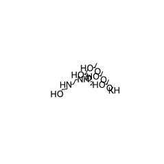 CC(=O)O.CC(=O)O.CC(=O)O.CC(=O)O.NCCNCCO.[KH]